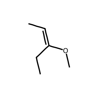 C/C=C(\CC)OC